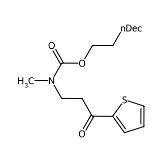 CCCCCCCCCCCCOC(=O)N(C)CCC(=O)c1cccs1